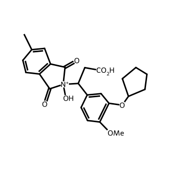 COc1ccc(C(CC(=O)O)[N+]2(O)C(=O)c3ccc(C)cc3C2=O)cc1OC1CCCC1